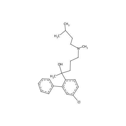 CC(C)CCN(C)CCCC(C)(O)c1ccc(Cl)cc1-c1ccccc1